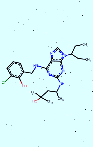 CCC(CC)n1cnc2c(NCc3cccc(Cl)c3O)nc(NC(C)CC(C)(C)O)nc21